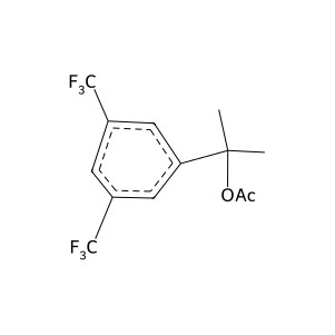 CC(=O)OC(C)(C)c1cc(C(F)(F)F)cc(C(F)(F)F)c1